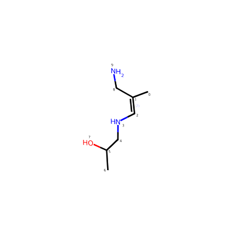 C/C(=C/NCC(C)O)CN